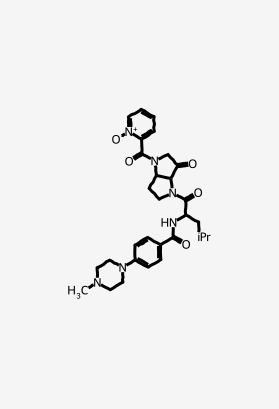 CC(C)CC(NC(=O)c1ccc(N2CCN(C)CC2)cc1)C(=O)N1CCC2C1C(=O)CN2C(=O)c1cccc[n+]1[O-]